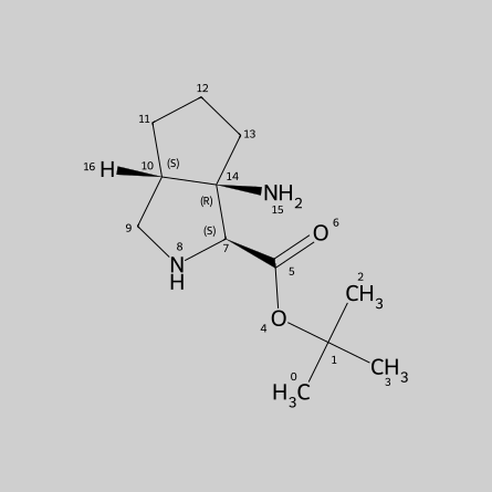 CC(C)(C)OC(=O)[C@H]1NC[C@@H]2CCC[C@@]21N